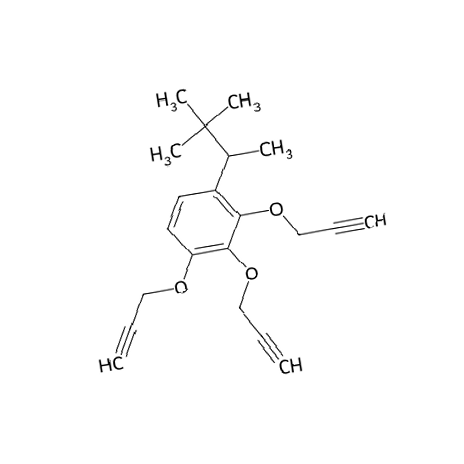 C#CCOc1ccc(C(C)C(C)(C)C)c(OCC#C)c1OCC#C